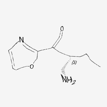 CC[C@H](N)C(=O)c1ncco1